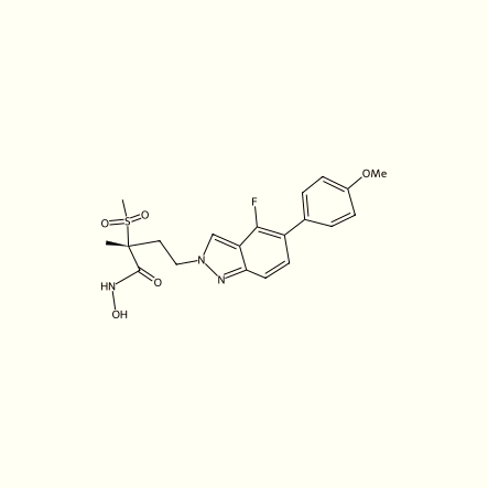 COc1ccc(-c2ccc3nn(CC[C@](C)(C(=O)NO)S(C)(=O)=O)cc3c2F)cc1